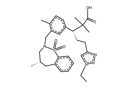 CCn1cc(CC[C@H](c2ccc(C)c(CN3C[C@@H](C)Cc4ccccc4S3(=O)=O)c2)C(C)(C)C(=O)O)nn1